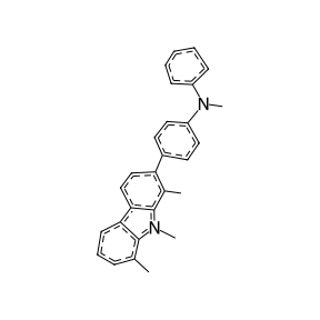 Cc1cccc2c3ccc(-c4ccc(N(C)c5ccccc5)cc4)c(C)c3n(C)c12